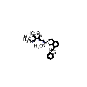 C=N/C(=C\C=C(/CC(=O)O)C(/C=N\C)=C(C)C)N1CCc2cccc(-c3nc4ccccc4s3)c2C1